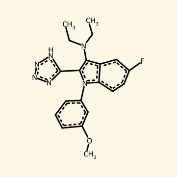 CCN(CC)c1c(-c2nnn[nH]2)n(-c2cccc(OC)c2)c2ccc(F)cc12